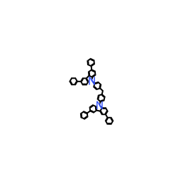 C1=CCCC(c2ccc3c(c2)c2cc(-c4ccccc4)ccc2n3-c2ccc(Cc3ccc(-n4c5ccc(-c6ccccc6)cc5c5cc(-c6ccccc6)ccc54)cc3)cc2)=C1